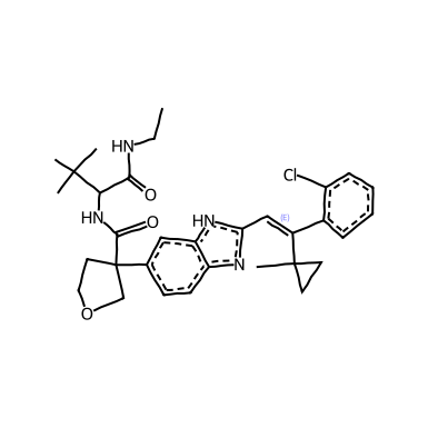 CCNC(=O)C(NC(=O)C1(c2ccc3nc(/C=C(/c4ccccc4Cl)C4(C)CC4)[nH]c3c2)CCOC1)C(C)(C)C